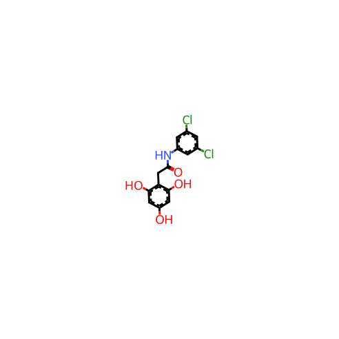 O=C(Cc1c(O)cc(O)cc1O)Nc1cc(Cl)cc(Cl)c1